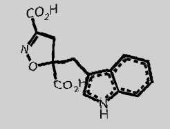 O=C(O)C1=NOC(Cc2c[nH]c3ccccc23)(C(=O)O)C1